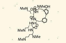 CNCCC[C@@H](CNC(=O)[C@H](CCCNC)NC(=O)[C@@H]1Cc2cccc(c2)-c2ccc(O)c(c2)C[C@H](NC)C(=O)N[C@@H](C[C@@H](O)CNC)C(=O)N1)NC